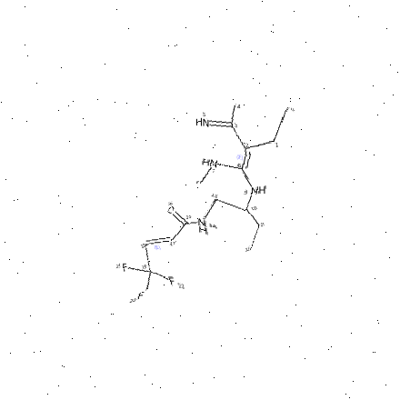 CC/C(C(C)=N)=C(/NC)NC(CC)CNC(=O)/C=C/C(F)(F)F